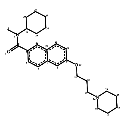 CN(C(=O)c1ccc2cc(OCCCN3CCCCC3)ccc2c1)C1CCCCC1